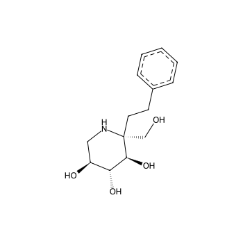 OC[C@@]1(CCc2ccccc2)NC[C@H](O)[C@@H](O)[C@@H]1O